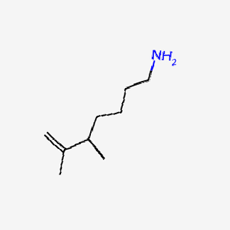 C=C(C)C(C)CCCCN